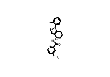 Cc1ccnc(C(=O)N[C@@H]2CCCc3c2cnn3-c2ccccc2F)c1